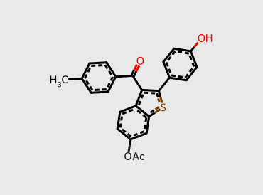 CC(=O)Oc1ccc2c(C(=O)c3ccc(C)cc3)c(-c3ccc(O)cc3)sc2c1